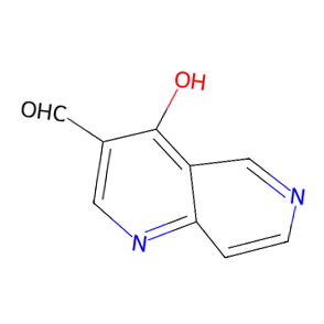 O=Cc1cnc2ccncc2c1O